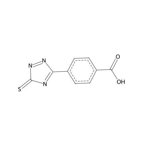 O=C(O)c1ccc(C2=NC(=S)N=N2)cc1